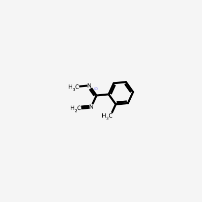 C=N/C(=N\C)c1ccccc1C